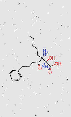 CCCCC[C@](N)(C(=O)CCCc1ccccc1)[C@](N)(O)C(=O)O